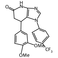 COc1ccc(C2CC(=O)Nc3ncn(-c4ccc(C(F)(F)F)cc4)c32)cc1OC